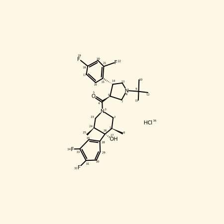 C[C@@H]1CN(C(=O)[C@@H]2CN(C(C)(C)C)C[C@H]2c2ccc(F)cc2F)C[C@H](C)[C@]1(O)c1ccc(F)c(F)c1.Cl